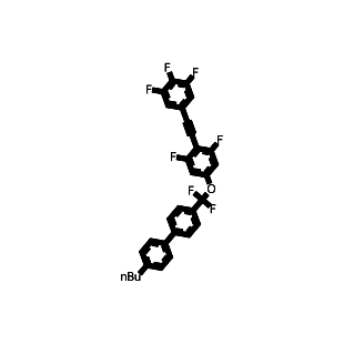 CCCCc1ccc(-c2ccc(C(F)(F)Oc3cc(F)c(C#Cc4cc(F)c(F)c(F)c4)c(F)c3)cc2)cc1